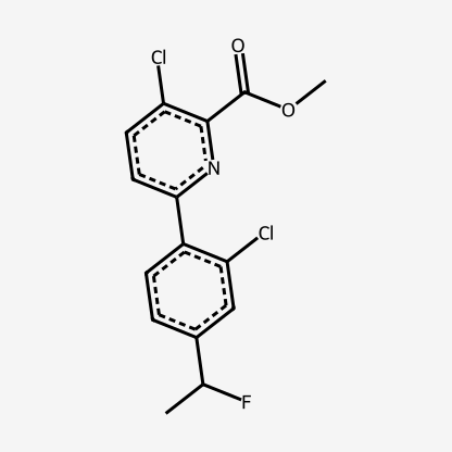 COC(=O)c1nc(-c2ccc(C(C)F)cc2Cl)ccc1Cl